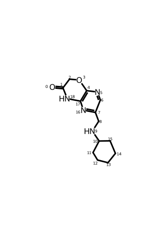 O=C1COc2ncc(CNC3CCCCC3)nc2N1